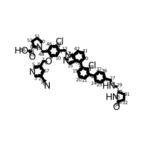 N#Cc1cncc(COc2cc(Cn3ncc4c(-c5cccc(-c6ccc(CNC[C@@H]7CCC(=O)N7)cc6)c5Cl)cccc43)c(Cl)cc2CN2CCC[C@H]2C(=O)O)c1